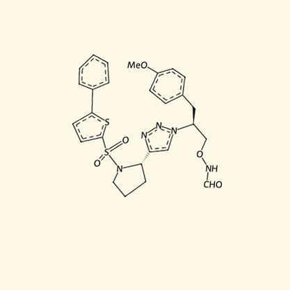 COc1ccc(C[C@@H](CONC=O)n2cc([C@@H]3CCCN3S(=O)(=O)c3ccc(-c4ccccc4)s3)nn2)cc1